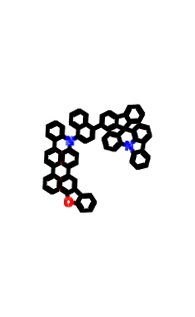 c1ccc(-c2ccc(-c3ccccc3N(c3ccc(-c4ccc5oc6ccccc6c5c4)cc3)c3ccc(-c4ccc5c(c4)C4(c6ccccc6-5)c5ccccc5-n5c6ccccc6c6cccc4c65)c4ccccc34)cc2)cc1